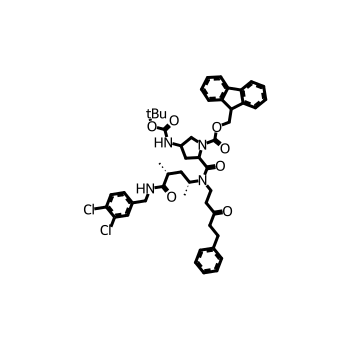 C[C@H](C[C@@H](C)N(CCC(=O)CCc1ccccc1)C(=O)C1CC(NC(=O)OC(C)(C)C)CN1C(=O)OCC1c2ccccc2-c2ccccc21)C(=O)NCc1ccc(Cl)c(Cl)c1